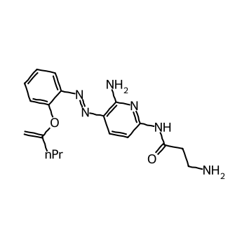 C=C(CCC)Oc1ccccc1/N=N/c1ccc(NC(=O)CCN)nc1N